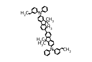 C=Cc1cccc(N(c2ccccc2)c2ccc3c(c2)C(C)(C)c2cc(-c4ccc5c(c4)C(C)(C)c4cc(N(c6ccccc6)c6cccc(C=C)c6)ccc4-5)ccc2-3)c1